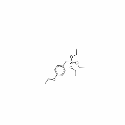 CCOc1ccc(C[Si](OCC)(OCC)OCC)cc1